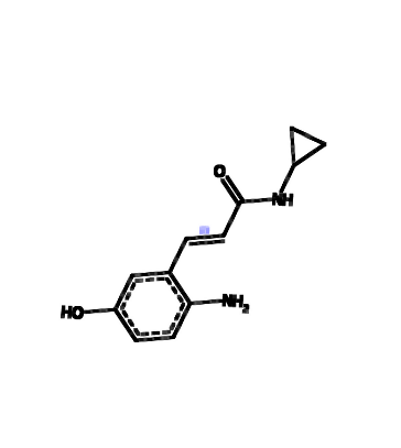 Nc1ccc(O)cc1/C=C/C(=O)NC1CC1